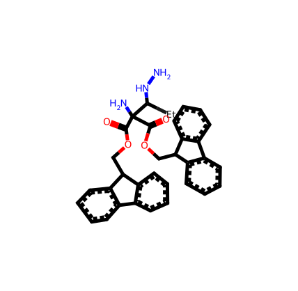 CCC(NN)C(N)(C(=O)OCC1c2ccccc2-c2ccccc21)C(=O)OCC1c2ccccc2-c2ccccc21